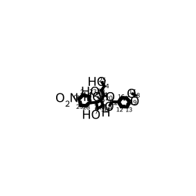 O=[N+]([O-])c1ccc(C2C(O)[C@@H]3OC(c4ccc5c(c4)OCO5)O[C@H]([C@H](O)CO)[C@@]23O)cc1